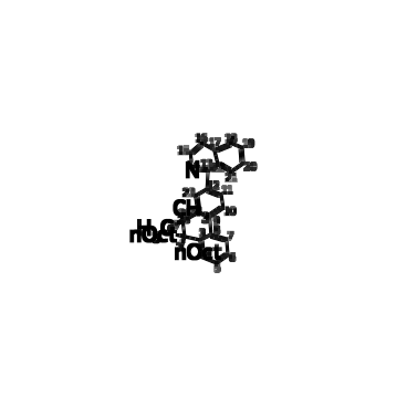 CCCCCCCCC1(CCCCCCCC)c2ccccc2-c2ccc(-c3nccc4ccccc34)cc2C1(C)C